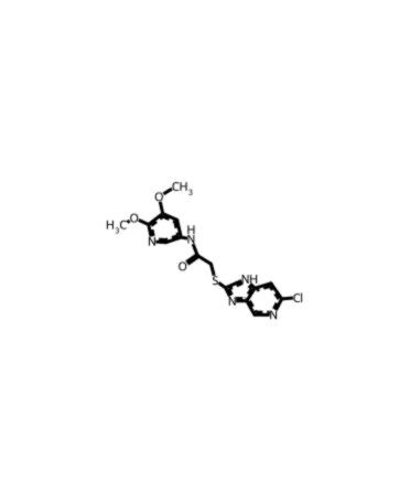 COc1cc(NC(=O)CSc2nc3cnc(Cl)cc3[nH]2)cnc1OC